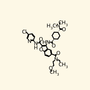 CCN(CCOC)C(=O)c1ccc2oc(C(=O)Nc3ccc(Cl)cn3)c(NC(=O)[C@H]3CC[C@H](C(=O)N(C)C)CC3)c2c1